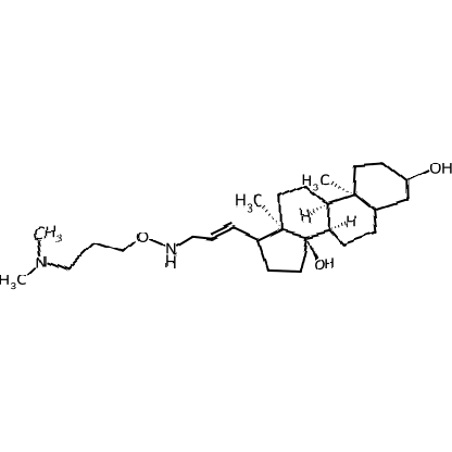 CN(C)CCCONC/C=C/C1CC[C@@]2(O)[C@@H]3CCC4CC(O)CC[C@]4(C)[C@@H]3CC[C@]12C